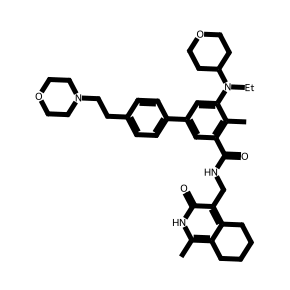 CCN(c1cc(-c2ccc(CCN3CCOCC3)cc2)cc(C(=O)NCc2c3c(c(C)[nH]c2=O)CCCC3)c1C)C1CCOCC1